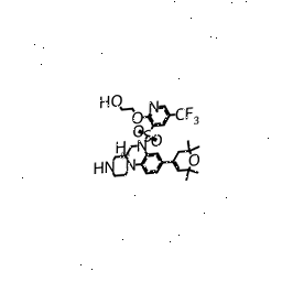 CC1(C)C=C(c2ccc3c(c2)N(S(=O)(=O)c2cc(C(F)(F)F)cnc2OCCO)C[C@@H]2CNCCN32)CC(C)(C)O1